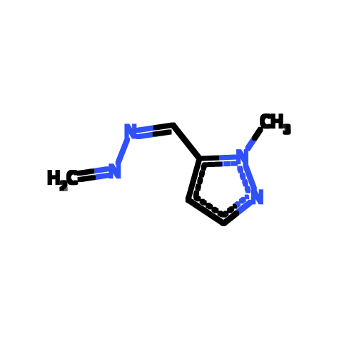 C=N/N=C\c1ccnn1C